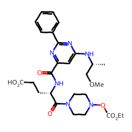 CCOC(=O)ON1CCN(C(=O)[C@H](CCC(=O)O)NC(=O)c2cc(N[C@H](C)COC)nc(-c3ccccc3)n2)CC1